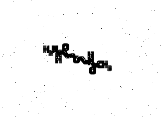 CC(=O)NCCOCCC(=O)NN